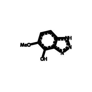 COc1ccc2[nH]nnc2c1O